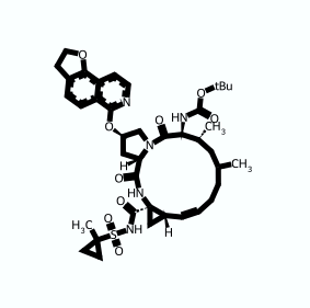 CC1CC/C=C\[C@@H]2C[C@@]2(C(=O)NS(=O)(=O)C2(C)CC2)NC(=O)[C@@H]2C[C@@H](Oc3nccc4c5c(ccc34)CCO5)CN2C(=O)[C@@H](NC(=O)OC(C)(C)C)[C@H](C)C1